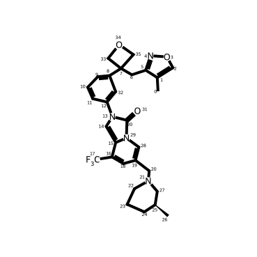 Cc1conc1CC1(c2cccc(-n3cc4c(C(F)(F)F)cc(CN5CCC[C@H](C)C5)cn4c3=O)c2)COC1